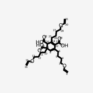 C=COCCCCC1=CC(CCCCOC=C)(C(=O)O)C(C(=O)O)C(CCCCOC=C)=C1C(=O)O